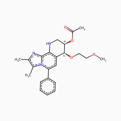 COCCO[C@H]1c2cc(-c3ccccc3)n3c(C)c(C)nc3c2NC[C@H]1OC(C)=O